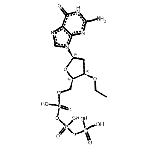 CCO[C@@H]1C[C@H](n2cnc3c(=O)[nH]c(N)nc32)O[C@@H]1COP(=O)(O)OP(=O)(O)OP(=O)(O)O